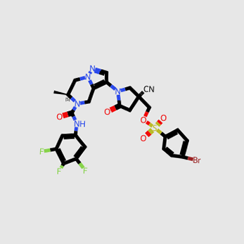 C[C@H]1Cn2ncc(N3CC(C#N)(COS(=O)(=O)c4ccc(Br)cc4)CC3=O)c2CN1C(=O)Nc1cc(F)c(F)c(F)c1